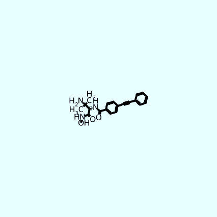 CC(C)(N)[C@H](NC(=O)c1ccc(C#Cc2ccccc2)cc1)C(=O)NO